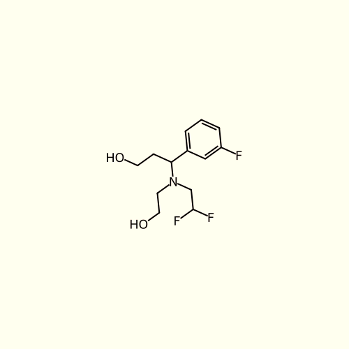 OCCC(c1cccc(F)c1)N(CCO)CC(F)F